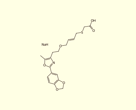 Cc1oc(-c2ccc3c(c2)OCO3)nc1CCOCC=CCSCC(=O)O.[NaH]